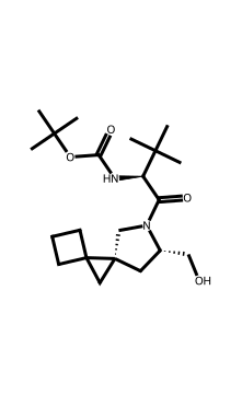 CC(C)(C)OC(=O)N[C@H](C(=O)N1C[C@]2(C[C@H]1CO)CC21CCC1)C(C)(C)C